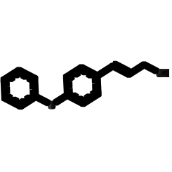 OC/C=C/c1ccc(Oc2ccccc2)cc1